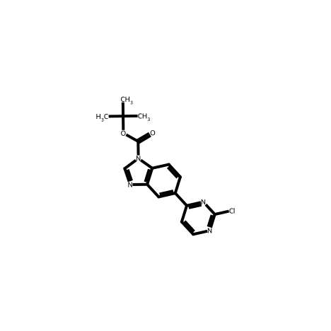 CC(C)(C)OC(=O)n1cnc2cc(-c3ccnc(Cl)n3)ccc21